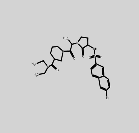 CCN(CC)C(=O)C1CCCN(C(=O)C(C)N2CCC(NS(=O)(=O)c3ccc4cc(Cl)ccc4c3)C2=O)C1